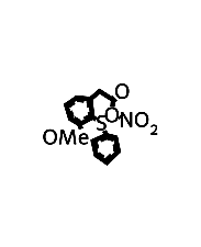 COc1cccc(CC(=O)O[N+](=O)[O-])c1Sc1ccccc1